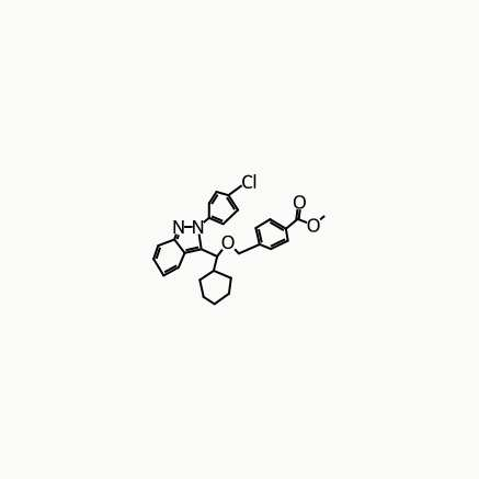 COC(=O)c1ccc(COC(c2c3ccccc3nn2-c2ccc(Cl)cc2)C2CCCCC2)cc1